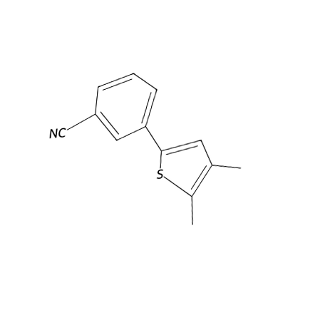 Cc1cc(-c2cccc(C#N)c2)sc1C